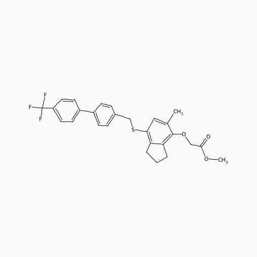 COC(=O)COc1c(C)cc(SCc2ccc(-c3ccc(C(F)(F)F)cc3)cc2)c2c1CCC2